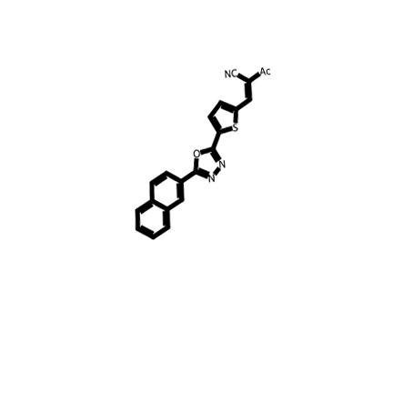 CC(=O)/C(C#N)=C/c1ccc(-c2nnc(-c3ccc4ccccc4c3)o2)s1